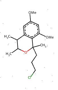 COc1cc(OC)c2c(c1)C(C)C(C)OC2(C)CCCCl